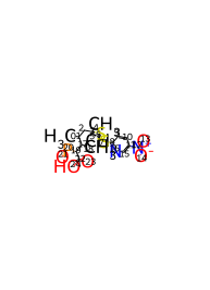 CC(CC(C)(C)SSc1ccc([N+](=O)[O-])cn1)C(C)C(P=O)C(=O)O